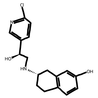 Oc1ccc2c(c1)C[C@@H](NC[C@@H](O)c1ccc(Cl)nc1)CC2